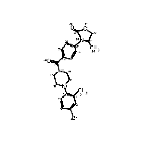 Cc1cc(Br)cnc1N1CCN(C(=O)c2ccc(N3C(=O)OCC3C)cc2)CC1